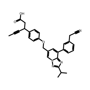 CC#CC(CC(=O)O)c1ccc(OCc2cc(-c3cccc(CC#N)c3)c3nc(C(C)C)nn3c2)cc1